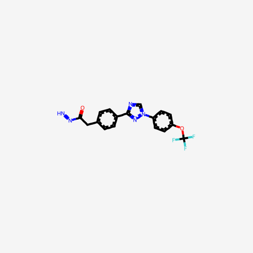 N=NC(=O)Cc1ccc(-c2ncn(-c3ccc(OC(F)(F)F)cc3)n2)cc1